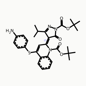 CC(C)C1=NN(C(=O)OC(C)(C)C)C(=O)/C1=C1/C=C(Sc2ccc(N)cc2)c2ccccc2N1C(=O)OC(C)(C)C